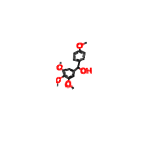 COc1ccc(C(O)c2cc(OC)c(OC)c(OC)c2)cc1